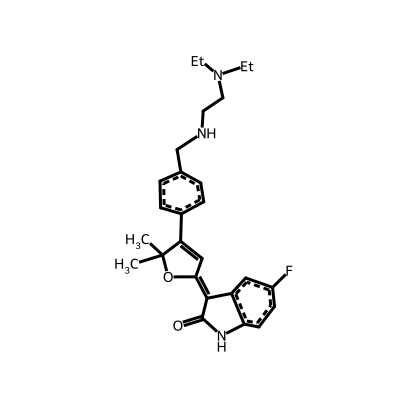 CCN(CC)CCNCc1ccc(C2=CC(=C3C(=O)Nc4ccc(F)cc43)OC2(C)C)cc1